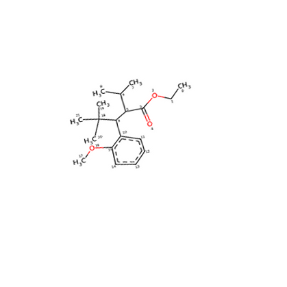 CCOC(=O)C(C(C)C)C(c1ccccc1OC)C(C)(C)C